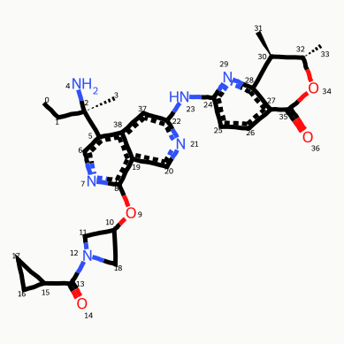 CC[C@@](C)(N)c1cnc(OC2CN(C(=O)C3CC3)C2)c2cnc(Nc3ccc4c(n3)[C@@H](C)[C@H](C)OC4=O)cc12